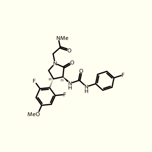 CNC(=O)CN1C[C@@H](c2c(F)cc(OC)cc2F)[C@H](NC(=O)Nc2ccc(F)cc2)C1=O